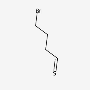 S=CCCCBr